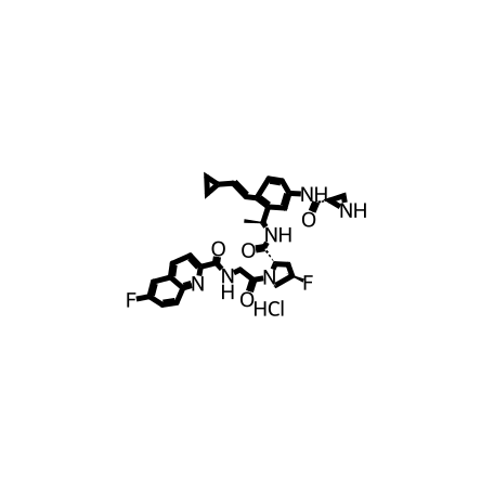 C[C@H](NC(=O)[C@@H]1C[C@@H](F)CN1C(=O)CNC(=O)c1ccc2cc(F)ccc2n1)c1cc(NC(=O)[C@@H]2CN2)ccc1/C=C/C1CC1.Cl